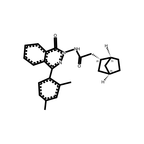 Cc1ccc(-c2nn(NC(=O)C[C@H]3C[C@@H]4CC[C@H]3C4)c(=O)c3ccccc23)c(C)c1